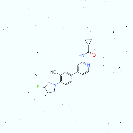 N#Cc1cc(-c2ccnc(NC(=O)C3CC3)c2)ccc1N1CCC(F)C1